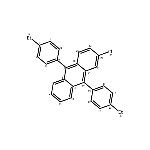 CCc1ccc(-c2c3ccccc3c(-c3ccc(CC)cc3)c3cc(Cl)ccc23)cc1